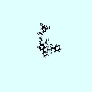 COc1c(OCCOC(=O)N2C[C@H]3CC2C(=O)O3)ccc2c1N=C(NC(=O)c1cccnc1)N1CCN=C21